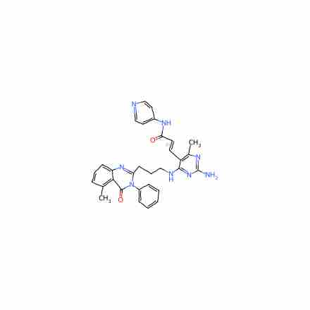 Cc1nc(N)nc(NCCCc2nc3cccc(C)c3c(=O)n2-c2ccccc2)c1/C=C/C(=O)Nc1ccncc1